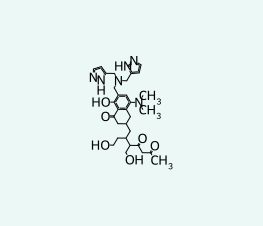 CC(=O)CC(=O)C(CO)C(CCO)CC1CC(=O)c2c(O)c(CN(Cc3ccn[nH]3)Cc3ccn[nH]3)cc(N(C)C)c2C1